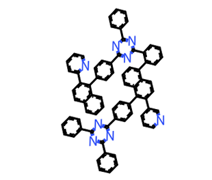 c1ccc(-c2nc(-c3ccccc3)nc(-c3ccc(-c4c(-c5cccnc5)ccc5c(-c6ccccc6-c6nc(-c7ccccc7)nc(-c7ccc(-c8c(-c9ccccn9)ccc9ccccc89)cc7)n6)cccc45)cc3)n2)cc1